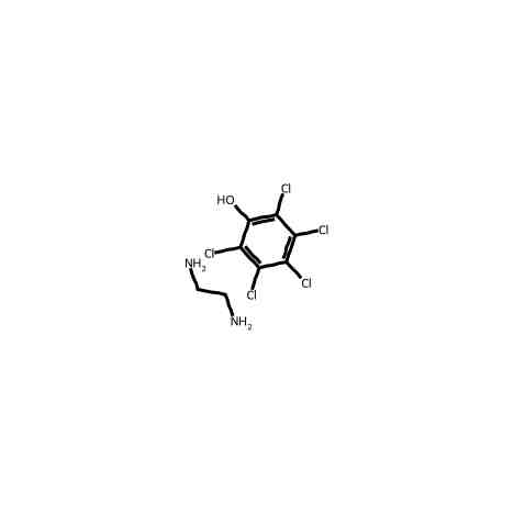 NCCN.Oc1c(Cl)c(Cl)c(Cl)c(Cl)c1Cl